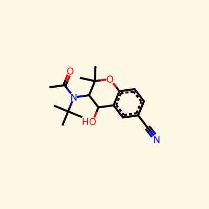 CC(=O)N(C1C(O)c2cc(C#N)ccc2OC1(C)C)C(C)(C)C